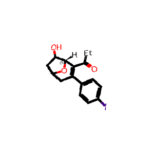 CCC(=O)C1=C(c2ccc(I)cc2)CC2CC(O)[C@H]1O2